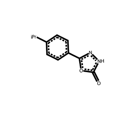 CC(C)c1ccc(-c2n[nH]c(=O)o2)cc1